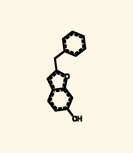 Oc1ccc2cc(Cc3ccccc3)oc2c1